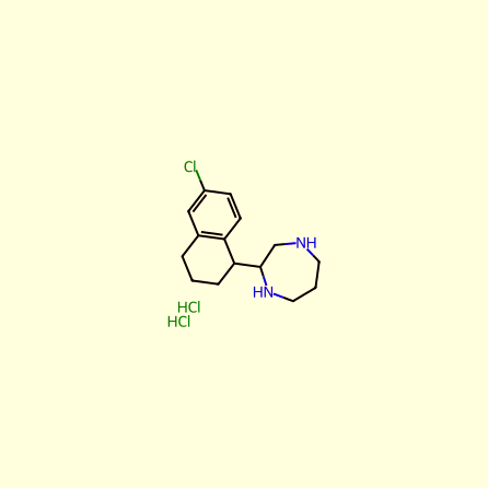 Cl.Cl.Clc1ccc2c(c1)CCCC2C1CNCCCN1